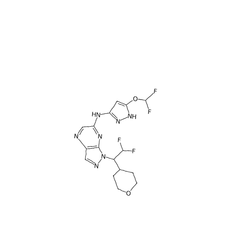 FC(F)Oc1cc(Nc2cnc3cnn(C(C(F)F)C4CCOCC4)c3n2)n[nH]1